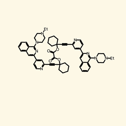 CCN1CCN(c2nc(-c3ccnc(C#CC4(OC(=O)C(=O)OC5(C#Cc6cc(-c7cc8ccccc8c(N8CCN(CC)CC8)n7)ccn6)CCCCC5)CCCCC4)c3)cc3ccccc23)CC1